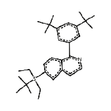 CCS(CC)(c1ccc2c(-c3cc(C(C)(C)C)cc(C(C)(C)C)c3)nccc2c1)C(C)(C)C